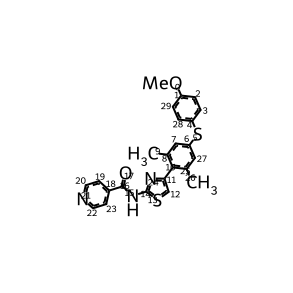 COc1ccc(Sc2cc(C)c(-c3csc(NC(=O)c4ccncc4)n3)c(C)c2)cc1